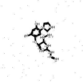 CC(C)c1cc(O)c(N2C=CNC2)cc1OC1=CNC(NN=N)NC1NN